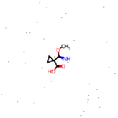 COC(=N)C1(C(=O)O)CC1